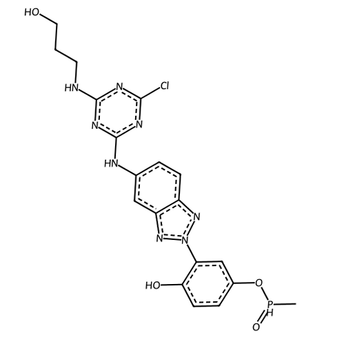 C[PH](=O)Oc1ccc(O)c(-n2nc3ccc(Nc4nc(Cl)nc(NCCCO)n4)cc3n2)c1